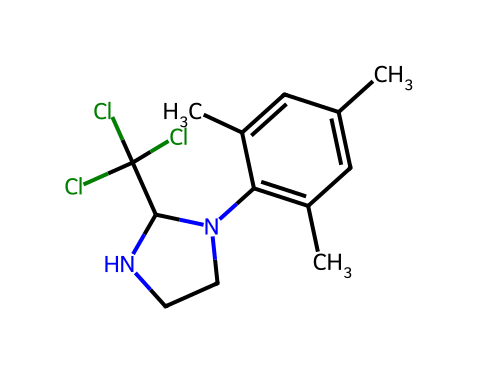 Cc1cc(C)c(N2CCNC2C(Cl)(Cl)Cl)c(C)c1